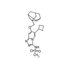 CS(=O)(=O)Nc1nnc2cc(OCC34CC5CC(CC(C5)C3)C4)c(C3CCC3)cn12